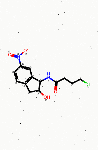 O=C(CCCCl)NC1c2cc([N+](=O)[O-])ccc2CC1O